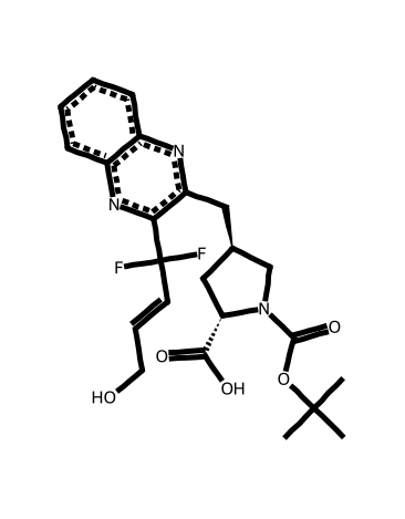 CC(C)(C)OC(=O)N1C[C@H](Cc2nc3ccccc3nc2C(F)(F)/C=C/CO)C[C@H]1C(=O)O